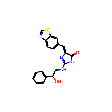 O=C1NC(NC[C@@H](O)c2ccccc2)=N/C1=C\c1ccc2ncsc2c1